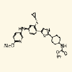 COc1ccc(Nc2ccc(-c3cnc(C4CCC(NC(=O)OC(C)C)CC4)s3)c(SC3CC3)c2)cn1